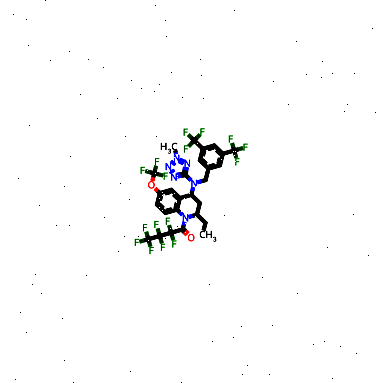 CCC1CC(N(Cc2cc(C(F)(F)F)cc(C(F)(F)F)c2)c2nnn(C)n2)c2cc(OC(F)(F)F)ccc2N1C(=O)C(F)(F)C(F)(F)C(F)(F)F